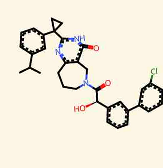 CC(C)c1cccc(C2(c3nc4c(c(=O)[nH]3)CN(C(=O)[C@H](O)c3cccc(-c5cccc(Cl)c5)c3)CCC4)CC2)c1